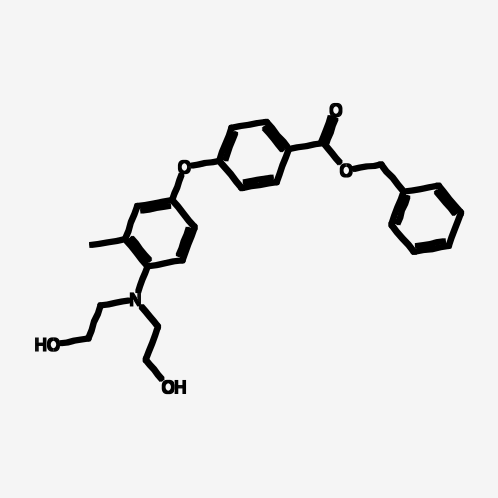 Cc1cc(Oc2ccc(C(=O)OCc3ccccc3)cc2)ccc1N(CCO)CCO